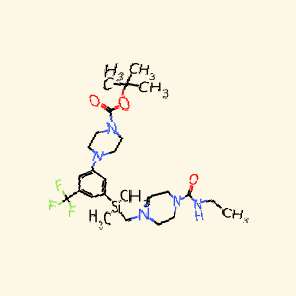 CCNC(=O)N1CCN(C[Si](C)(C)c2cc(N3CCN(C(=O)OC(C)(C)C)CC3)cc(C(F)(F)F)c2)CC1